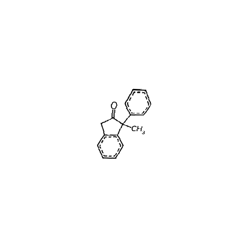 CC1(c2ccccc2)C(=O)Cc2ccccc21